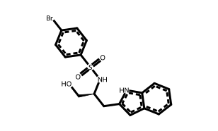 O=S(=O)(N[C@H](CO)Cc1cc2ccccc2[nH]1)c1ccc(Br)cc1